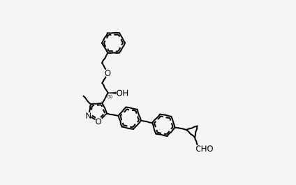 Cc1noc(-c2ccc(-c3ccc(C4CC4C=O)cc3)cc2)c1[C@H](O)COCc1ccccc1